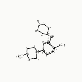 [CH]c1ccc(N2CCN(C)CC2)cc1NC1CCOCC1